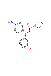 COc1cccc(N(CC(=O)N2CCCC2)c2ccc(N)cc2)c1